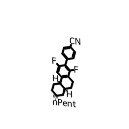 CCCCC[C@@H]1CC[C@@H]2c3cc(F)c(-c4ccc(C#N)cc4)c(F)c3CC[C@H]2C1